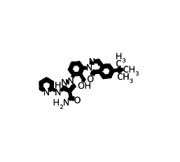 CC(C)(C)c1ccc2c(=O)n(-c3cccc(-n4cc(C(N)=O)c(Nc5ccccn5)n4)c3CO)ncc2c1